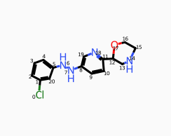 Clc1cccc(NNc2ccc(C3CNCCO3)nc2)c1